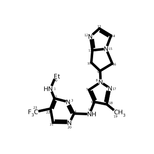 CCNc1nc(Nc2cn(C3Cc4nccn4C3)nc2C)ncc1C(F)(F)F